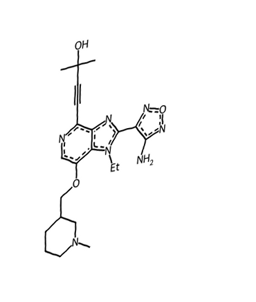 CCn1c(-c2nonc2N)nc2c(C#CC(C)(C)O)ncc(OCC3CCCN(C)C3)c21